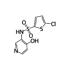 O=S(=O)(Nc1cnccc1O)c1ccc(Cl)s1